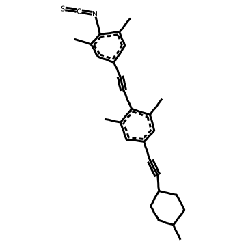 Cc1cc(C#CC2CCC(C)CC2)cc(C)c1C#Cc1cc(C)c(N=C=S)c(C)c1